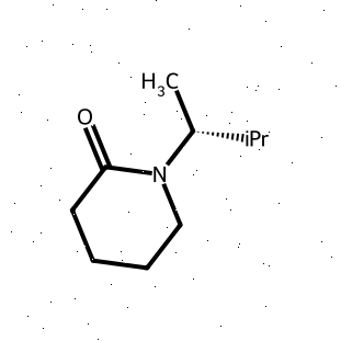 CC(C)[C@@H](C)N1CCCCC1=O